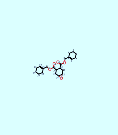 O=C(OCC1=CCCCC1)C1CC2OC2CC1C(=O)OCC1=CCCCC1